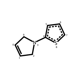 C1=CCN(c2cccs2)C1